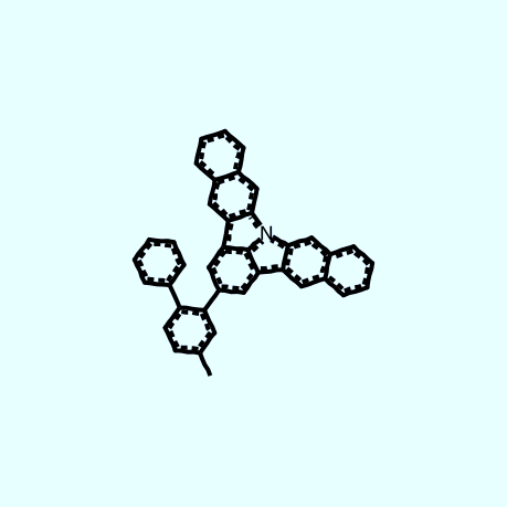 Cc1ccc(-c2ccccc2)c(-c2cc3c4cc5ccccc5cc4n4c5cc6ccccc6cc5c(c2)c34)c1